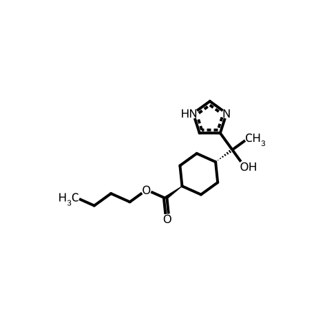 CCCCOC(=O)[C@H]1CC[C@H](C(C)(O)c2c[nH]cn2)CC1